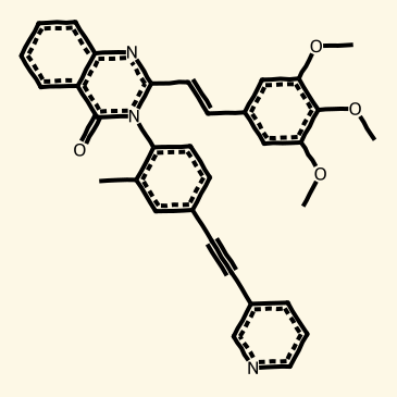 COc1cc(C=Cc2nc3ccccc3c(=O)n2-c2ccc(C#Cc3cccnc3)cc2C)cc(OC)c1OC